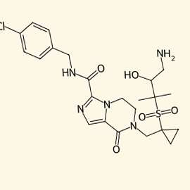 CC(C)(C(O)CN)S(=O)(=O)C1(CN2CCn3c(cnc3C(=O)NCc3ccc(Cl)cc3)C2=O)CC1